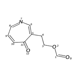 O=COCCc1cncccc1=O